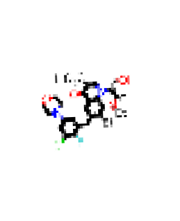 CCO[C@H](C)[C@@H](CO)n1cc(C(=O)O)c(=O)c2cc(Cc3cc(N4CCOCC4)cc(Cl)c3F)c(CC)cc21